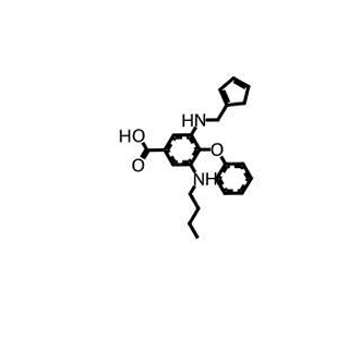 CCCCNc1cc(C(=O)O)cc(NCC2=CC=CC2)c1Oc1ccccc1